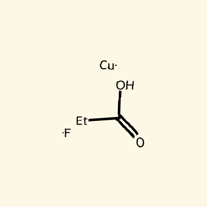 CCC(=O)O.[Cu].[F]